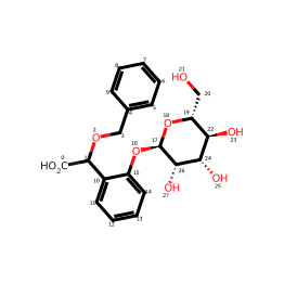 O=C(O)C(OCc1ccccc1)c1ccccc1O[C@H]1O[C@H](CO)[C@@H](O)[C@H](O)[C@@H]1O